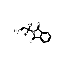 [2H]C([2H])(C=C)N1C(=O)c2ccccc2C1=O